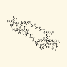 CC(C)(O)CON1C(C)(C)CC(OC(=O)CCCCC(=O)OC2CC(C)(C)N(OCC(C)(C)O)C(C)(C)C2)CC1(C)C.O=C(O)CCCCCCCCC(=O)O